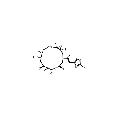 C/C(=C\c1csc(C)n1)[C@H]1CC(=O)C[C@H](O)C(C)(C)C(=O)[C@H](C)[C@@H](O)[C@@H](C)CCC[C@@]2(C)O[C@H]2C1